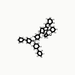 c1ccc(-c2ccc(N(c3ccc(-c4ccccc4)cc3)c3ccc(-c4ccc5c(c4)C4(c6ccccc6Oc6ccccc64)c4cc6ccccc6cc4-5)cc3)cc2)cc1